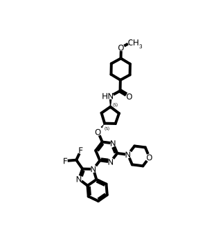 COC1CCC(C(=O)N[C@H]2CC[C@H](Oc3cc(-n4c(C(F)F)nc5ccccc54)nc(N4CCOCC4)n3)C2)CC1